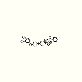 O=C(NS(=O)(=O)c1ccc(Cl)cc1)N1CCC(N2CCC(Oc3ccc(Cl)c(Cl)c3)CC2)CC1